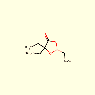 CNCB1OC(=O)C(CC(=O)O)(CC(=O)O)O1